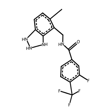 Cc1ccc2c(c1CNC(=O)c1ccc(C(F)(F)F)c(F)c1)NNN2